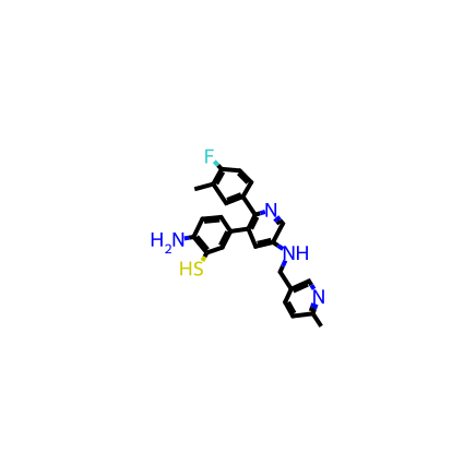 Cc1ccc(CNc2cnc(-c3ccc(F)c(C)c3)c(-c3ccc(N)c(S)c3)c2)cn1